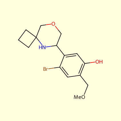 COCc1cc(Br)c(C2COCC3(CCC3)N2)cc1O